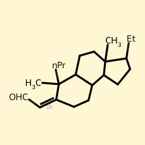 CCCC1(C)/C(=C\C=O)CCC2C1CCC1(C)C(CC)CCC21